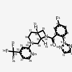 O=C(c1cc(F)ccc1-n1nccn1)N1C[C@H]2CCN(c3cc(C(F)(F)F)ccn3)C[C@H]21